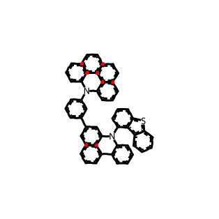 c1ccc(-c2ccccc2N(c2cccc(-c3cccc(N(c4ccccc4-c4ccccc4)c4cccc5sc6ccccc6c45)c3)c2)c2ccccc2-c2ccccc2)cc1